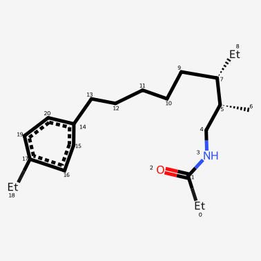 CCC(=O)NC[C@@H](C)[C@@H](CC)CCCCCc1ccc(CC)cc1